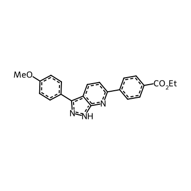 CCOC(=O)c1ccc(-c2ccc3c(-c4ccc(OC)cc4)n[nH]c3n2)cc1